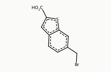 O=C(O)c1cc2ccc(CBr)cc2s1